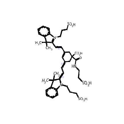 CC1(C)C(/C=C/C2=CC(=C/C=C3/N(CCCS(=O)(=O)O)c4ccccc4C3(C)C)/CC(C(=O)O)(C(=O)NCCS(=O)(=O)O)C2)=[N+](CCCS(=O)(=O)O)c2ccccc21